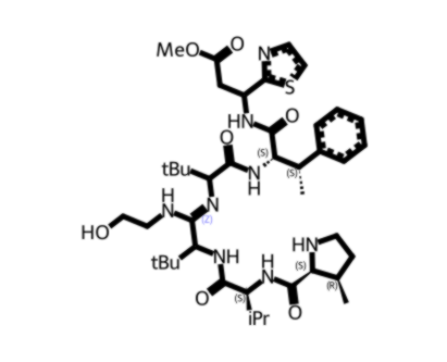 COC(=O)CC(NC(=O)[C@@H](NC(=O)C(/N=C(\NCCO)C(NC(=O)[C@@H](NC(=O)[C@H]1NCC[C@H]1C)C(C)C)C(C)(C)C)C(C)(C)C)[C@@H](C)c1ccccc1)c1nccs1